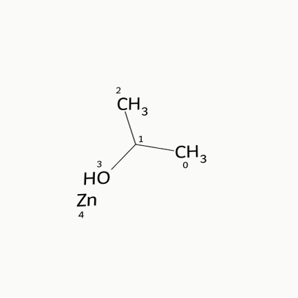 CC(C)O.[Zn]